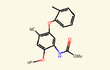 CCCOc1cc(C#N)c(Oc2ccccc2C)cc1NC(=O)OC